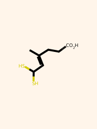 CC(=CC(S)S)CCC(=O)O